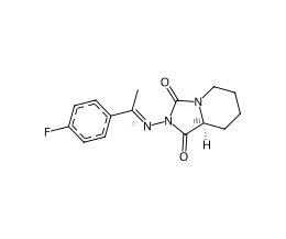 C/C(=N\N1C(=O)[C@@H]2CCCCN2C1=O)c1ccc(F)cc1